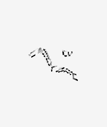 O=[C]=[Cr].[Co]